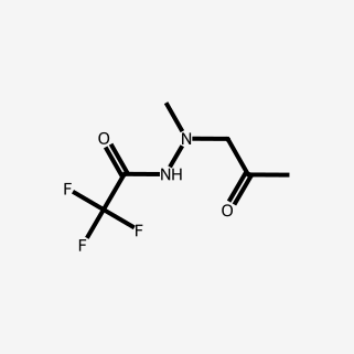 CC(=O)CN(C)NC(=O)C(F)(F)F